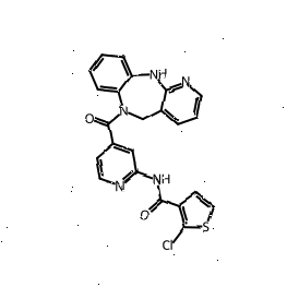 O=C(Nc1cc(C(=O)N2Cc3cccnc3Nc3ccccc32)ccn1)c1ccsc1Cl